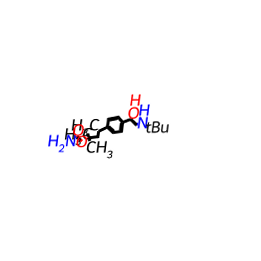 CC(CC(C)(C)OC(N)=O)c1ccc(C(O)CNC(C)(C)C)cc1